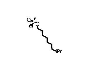 CC(C)CCCCCCCOS(C)(=O)=O